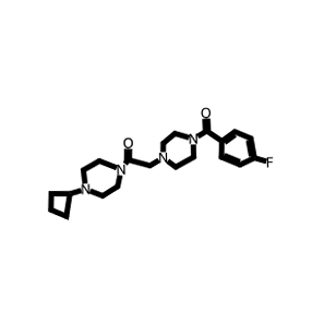 O=C(CN1CCN(C(=O)c2ccc(F)cc2)CC1)N1CCN(C2CCC2)CC1